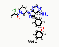 C=C(Cl)C(=O)N1CCCC(n2nc(-c3ccc(Oc4ccc(OC)cc4)cc3)c3c(N)ncnc32)C1